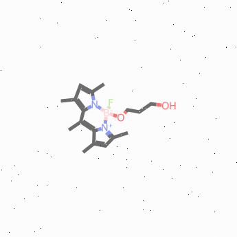 CC1=CC(C)=[N+]2C1=C(C)c1c(C)cc(C)n1[B-]2(F)OCCCO